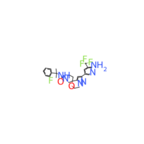 CC(C)(NC(=O)N1CCC2(C1)OCCn1nc(-c3cnc(N)c(C(F)(F)F)c3)cc12)c1ccccc1F